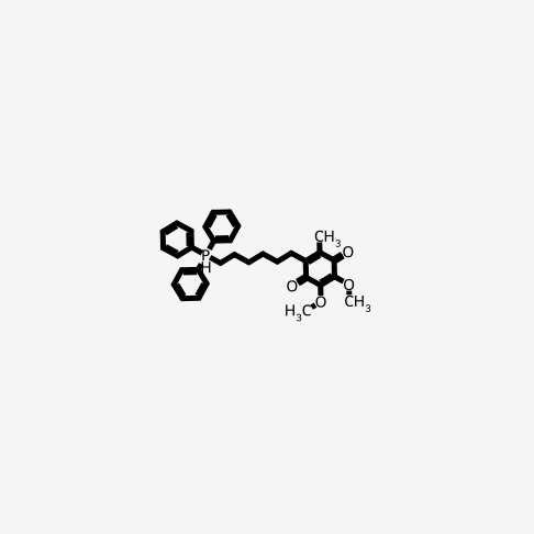 COC1=C(OC)C(=O)C(CCCCCC[PH](c2ccccc2)(c2ccccc2)c2ccccc2)=C(C)C1=O